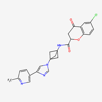 O=C1CC(C(=O)NC23CC(n4cnc(-c5ccc(C(F)(F)F)nc5)c4)(C2)C3)Oc2ccc(Cl)cc21